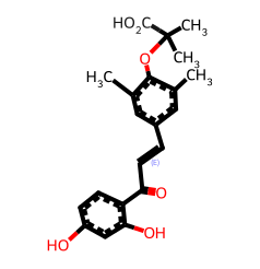 Cc1cc(/C=C/C(=O)c2ccc(O)cc2O)cc(C)c1OC(C)(C)C(=O)O